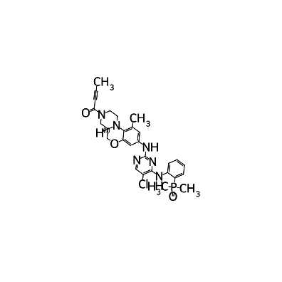 CC#CC(=O)N1CCN2c3c(C)cc(Nc4ncc(Cl)c(Nc5ccccc5P(C)(C)=O)n4)cc3OC[C@@H]2C1